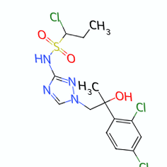 CCC(Cl)S(=O)(=O)Nc1ncn(CC(C)(O)c2ccc(Cl)cc2Cl)n1